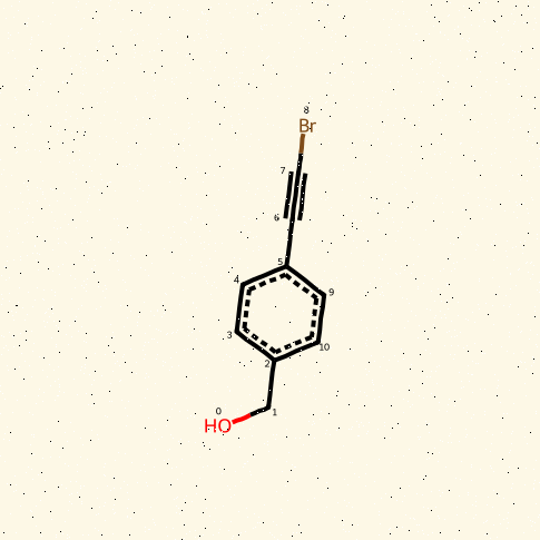 OCc1ccc(C#CBr)cc1